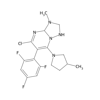 CC1CCN(C2=C(c3c(F)cc(F)cc3F)C(Cl)=NC3N(C)CNN23)C1